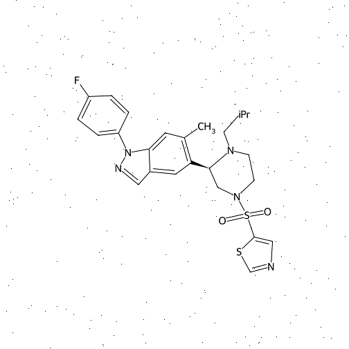 Cc1cc2c(cnn2-c2ccc(F)cc2)cc1[C@@H]1CN(S(=O)(=O)c2cncs2)CCN1CC(C)C